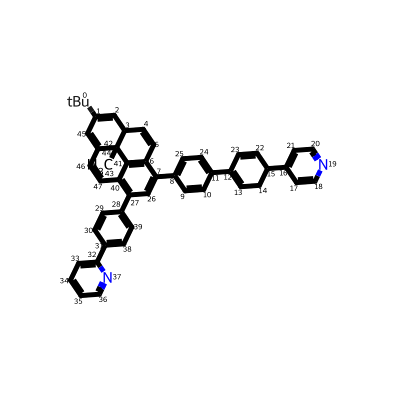 CC(C)(C)C1=CC2C=Cc3c(-c4ccc(C5=CCC(c6ccncc6)C=C5)cc4)cc(-c4ccc(-c5ccccn5)cc4)c4c3C2(C)C(=C1)C=C4